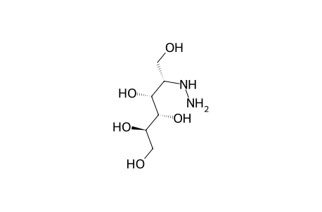 NN[C@@H](CO)[C@@H](O)[C@H](O)[C@H](O)CO